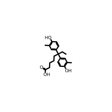 CCC(CCCCC(=O)O)(c1ccc(O)c(C)c1)c1ccc(O)c(C)c1